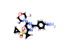 C[C@H]1COC[C@H](C)N1c1cc(C2(S(=O)(=O)C3CC3)CC2)nc(-c2ccc(N)cc2)n1